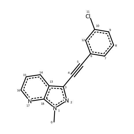 Cn1nc(C#Cc2cccc(Cl)c2)c2cccnc21